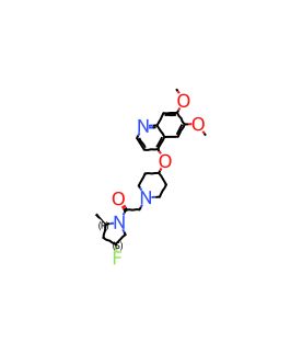 COc1cc2nccc(OC3CCN(CC(=O)N4C[C@@H](F)C[C@H]4C)CC3)c2cc1OC